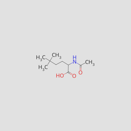 CC(=O)NC(CCC(C)(C)C)C(=O)O